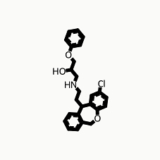 OC(CNCCC1c2ccccc2COc2ccc(Cl)cc21)COc1ccccc1